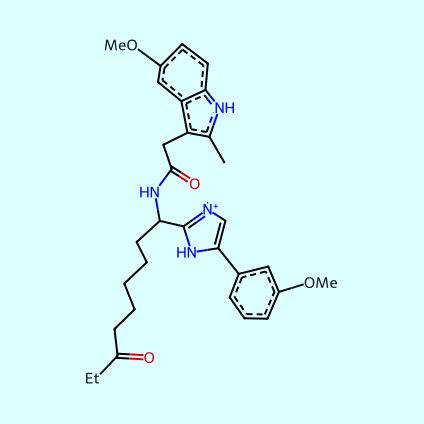 CCC(=O)CCCCCC(NC(=O)Cc1c(C)[nH]c2ccc(OC)cc12)C1=[N+]C=C(c2cccc(OC)c2)N1